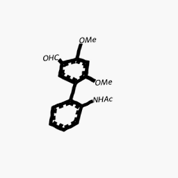 COc1cc(OC)c(-c2ccccc2NC(C)=O)cc1C=O